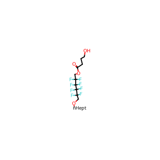 CCCCCCCOCC(F)(F)C(F)(F)C(F)(F)C(F)(F)COC(=O)CCCO